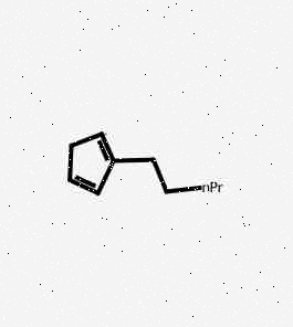 CCCCCC1=[C]CC=C1